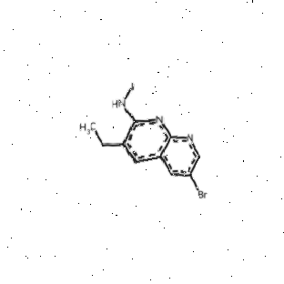 CCc1cc2cc(Br)cnc2nc1NI